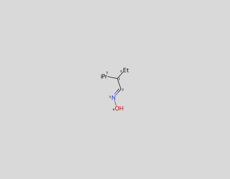 CCC(C=NO)C(C)C